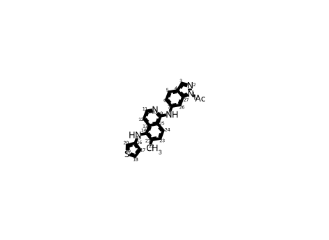 CC(=O)n1ncc2ccc(Nc3nccc4c(Nc5ccsc5)c(C)ccc34)cc21